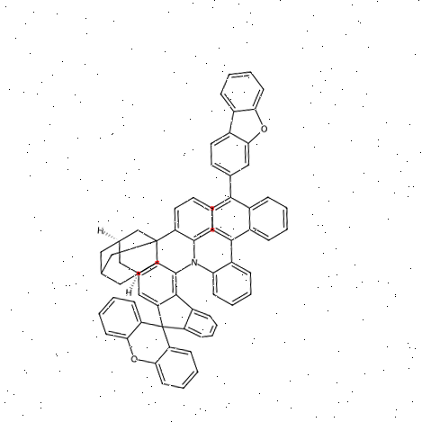 c1ccc2c(c1)Oc1ccccc1C21c2ccccc2-c2c(N(c3ccccc3-c3ccc(-c4ccc5c(c4)oc4ccccc45)c4ccccc34)c3ccccc3C34CC5C[C@H](C3)C[C@@H](C5)C4)cccc21